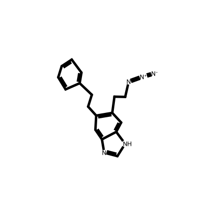 [N-]=[N+]=NCCc1cc2[nH]cnc2cc1CCc1ccccc1